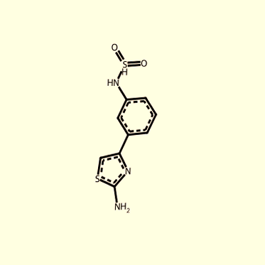 Nc1nc(-c2cccc(N[SH](=O)=O)c2)cs1